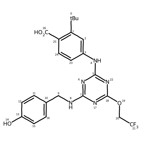 CC(C)(C)c1cc(Nc2nc(NCc3ccc(O)cc3)nc(OCC(F)(F)F)n2)ccc1C(=O)O